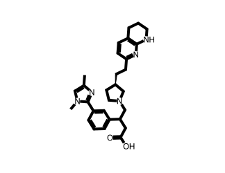 Cc1cn(C)c(-c2cccc(C(CC(=O)O)CN3CC[C@@H](CCc4ccc5c(n4)NCCC5)C3)c2)n1